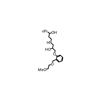 CCCC(O)CCNCC(O)COc1ccccc1COCCOC